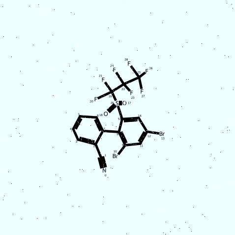 N#Cc1ccccc1-c1c(Br)[c]c(Br)cc1S(=O)(=O)C(F)(F)C(F)(F)C(F)(F)F